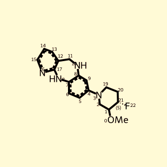 COC1CN(c2ccc3c(c2)NCc2cccnc2N3)CC[C@@H]1F